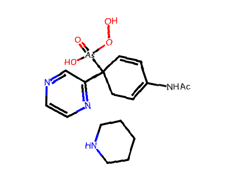 C1CCNCC1.CC(=O)NC1=CCC(c2cnccn2)([As](=O)(O)OO)C=C1